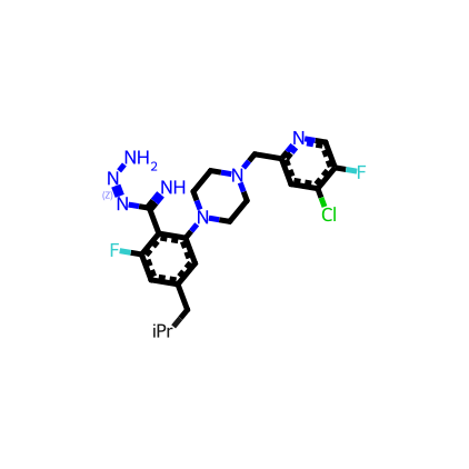 CC(C)Cc1cc(F)c(C(=N)/N=N\N)c(N2CCN(Cc3cc(Cl)c(F)cn3)CC2)c1